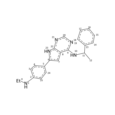 CCNc1ccc(-c2cc3c(NC(C)c4ccccc4)ncnc3[nH]2)cc1